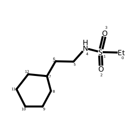 CCS(=O)(=O)NC[CH]C1CCCCC1